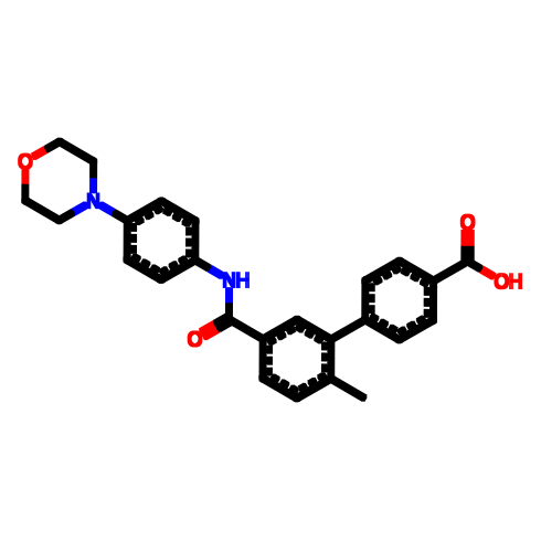 Cc1ccc(C(=O)Nc2ccc(N3CCOCC3)cc2)cc1-c1ccc(C(=O)O)cc1